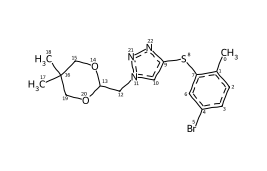 Cc1ccc(Br)cc1Sc1cn(CC2OCC(C)(C)CO2)nn1